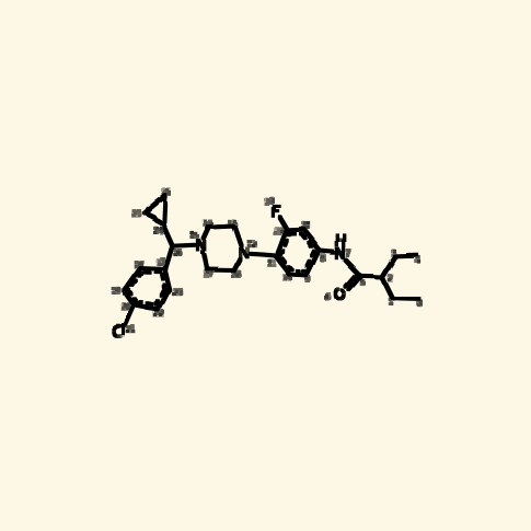 CCC(CC)C(=O)Nc1ccc(N2CCN(C(c3ccc(Cl)cc3)C3CC3)CC2)c(F)c1